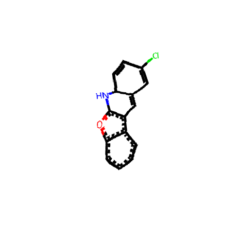 ClC1=CC2=Cc3c(oc4ccccc34)NC2C=C1